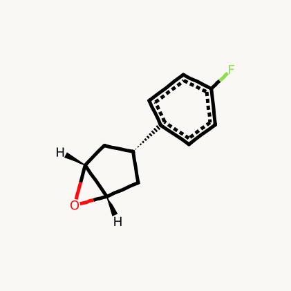 Fc1ccc([C@@H]2C[C@@H]3O[C@@H]3C2)cc1